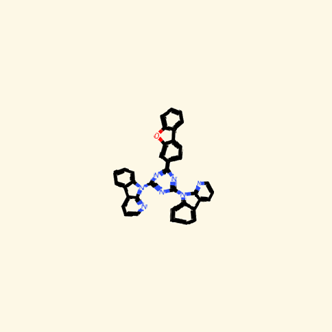 c1ccc2c(c1)oc1cc(-c3nc(-n4c5ccccc5c5cccnc54)nc(-n4c5ccccc5c5cccnc54)n3)ccc12